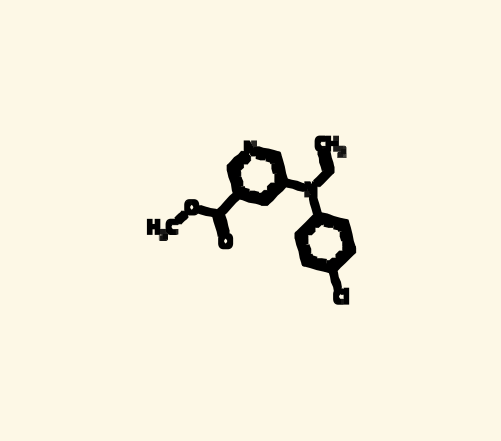 C=CN(c1ccc(Cl)cc1)c1cncc(C(=O)OC)c1